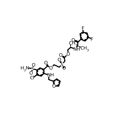 C[C@H](COC(=O)CS(=O)(=O)CCOC(=O)c1cc(S(N)(=O)=O)c(Cl)cc1NCc1ccco1)N[C@H](C)C(=O)c1cc(F)cc(F)c1